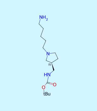 CC(C)(C)OC(=O)NC[C@@H]1CCN(CCCCCN)C1